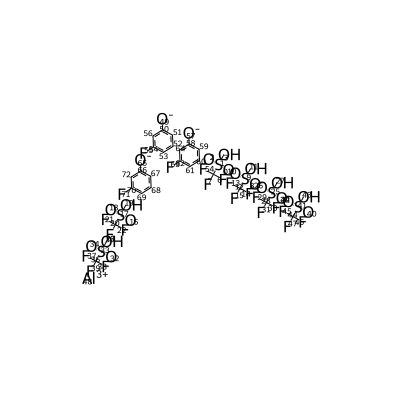 O=S(=O)(O)C(F)(F)F.O=S(=O)(O)C(F)(F)F.O=S(=O)(O)C(F)(F)F.O=S(=O)(O)C(F)(F)F.O=S(=O)(O)C(F)(F)F.O=S(=O)(O)C(F)(F)F.[Al+3].[O-]c1cccc(F)c1.[O-]c1cccc(F)c1.[O-]c1cccc(F)c1